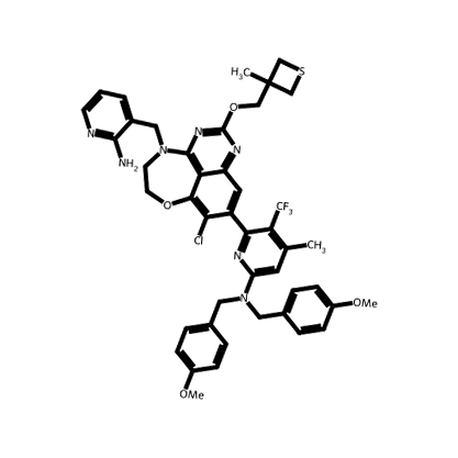 COc1ccc(CN(Cc2ccc(OC)cc2)c2cc(C)c(C(F)(F)F)c(-c3cc4nc(OCC5(C)CSC5)nc5c4c(c3Cl)OCCN5Cc3cccnc3N)n2)cc1